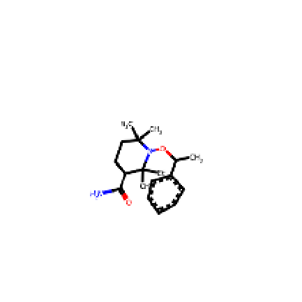 CCC1(C)C(C(N)=O)[CH]CC(C)(C)N1OC(C)c1ccccc1